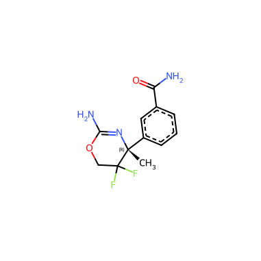 C[C@]1(c2cccc(C(N)=O)c2)N=C(N)OCC1(F)F